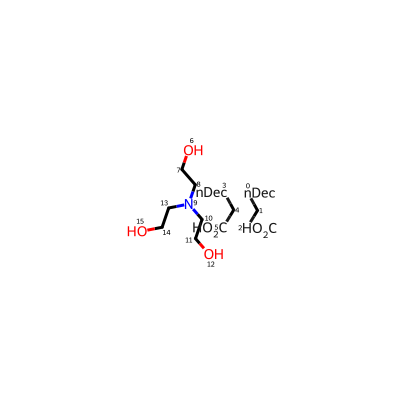 CCCCCCCCCCCC(=O)O.CCCCCCCCCCCC(=O)O.OCCN(CCO)CCO